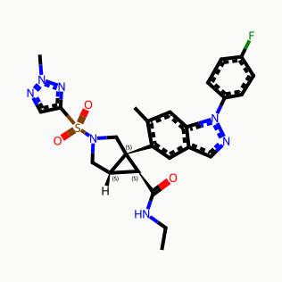 CCNC(=O)[C@H]1[C@@H]2CN(S(=O)(=O)c3cnn(C)n3)C[C@@]21c1cc2cnn(-c3ccc(F)cc3)c2cc1C